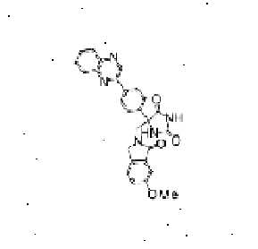 COc1ccc2c(c1)C(=O)N(CC1(c3ccc(-c4cnc5ccccc5n4)cc3)NC(=O)NC1=O)C2